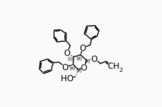 C=CCO[C@@H]1O[C@H](CO)[C@@H](OCc2ccccc2)[C@H](OCc2ccccc2)[C@H]1OCc1ccccc1